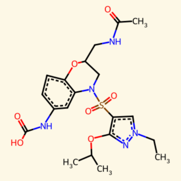 CCn1cc(S(=O)(=O)N2CC(CNC(C)=O)Oc3ccc(NC(=O)O)cc32)c(OC(C)C)n1